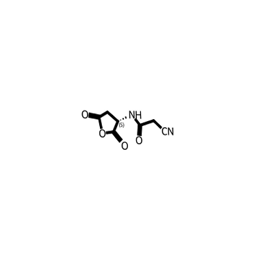 N#CCC(=O)N[C@H]1CC(=O)OC1=O